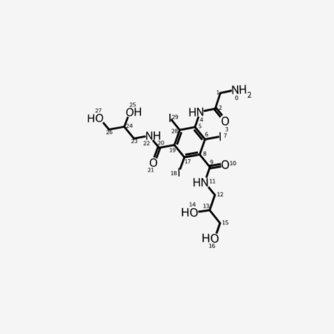 NCC(=O)Nc1c(I)c(C(=O)NCC(O)CO)c(I)c(C(=O)NCC(O)CO)c1I